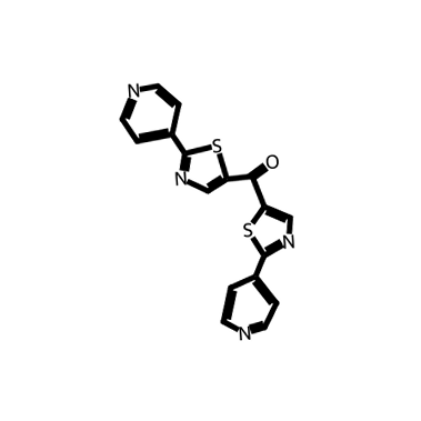 O=C(c1cnc(-c2ccncc2)s1)c1cnc(-c2ccncc2)s1